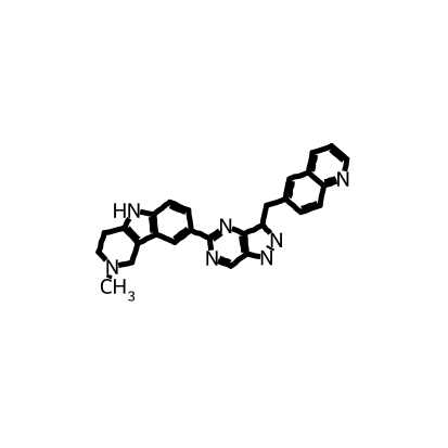 CN1CCc2[nH]c3ccc(-c4ncc5c(n4)C(Cc4ccc6ncccc6c4)N=N5)cc3c2C1